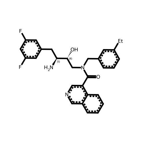 CCc1cccc(CN(C[C@@H](O)[C@@H](N)Cc2cc(F)cc(F)c2)C(=O)c2cncc3ccccc23)c1